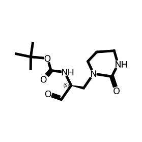 CC(C)(C)OC(=O)N[C@H](C=O)CN1CCCNC1=O